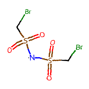 O=S(=O)(CBr)[N]S(=O)(=O)CBr